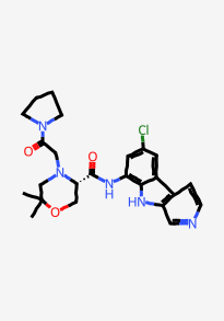 CC1(C)CN(CC(=O)N2CCCC2)[C@H](C(=O)Nc2cc(Cl)cc3c2[nH]c2cnccc23)CO1